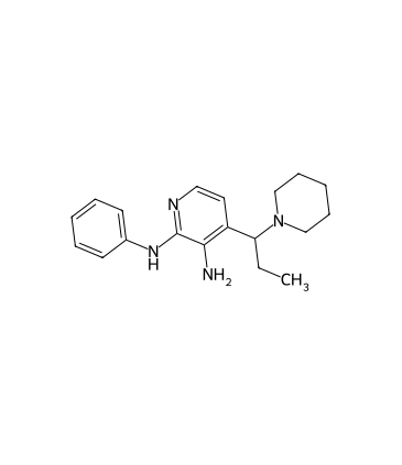 CCC(c1ccnc(Nc2ccccc2)c1N)N1CCCCC1